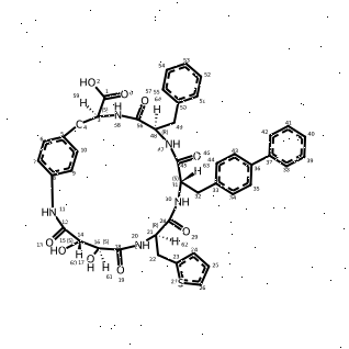 O=C(O)[C@@H]1Cc2ccc(cc2)NC(=O)[C@@H](O)[C@H](O)C(=O)N[C@H](Cc2cccs2)C(=O)N[C@@H](Cc2ccc(-c3ccccc3)cc2)C(=O)N[C@H](Cc2ccccc2)C(=O)N1